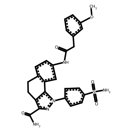 COc1cccc(CC(=O)Nc2ccc3c(c2)-c2c(c(C(N)=O)nn2-c2ccc(S(N)(=O)=O)cc2)CC3)c1